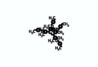 C=Cc1ccc(COc2c(C)cc(C(CCCC(c3cc(C)c(OCc4ccc(C=C)cc4)c(C)c3)c3cc(C)c(OCc4ccc(C=C)cc4)c(C)c3)c3cc(C)c(OCc4ccc(C=C)cc4)c(C)c3)cc2C)cc1